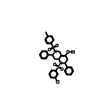 CCOC1=C2CN(S(=O)(=O)c3ccc(C)cc3)C(c3ccccc3)CC2N(S(=O)(=O)c2cccc(Cl)c2)C(c2ccccc2)C1